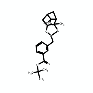 CC(C)(C)OC(=O)c1cccc(CB2OC3CC4CC(C4(C)C)C3(C)O2)c1